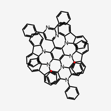 c1ccc(-c2cc(-c3c(-n4c5ccccc5c5ccccc54)c(-n4c5ccccc5c5ccccc54)c(N4c5ccccc5N(c5ccccc5)c5ccccc54)c(-n4c5ccccc5c5ccccc54)c3-n3c4ccccc4c4ccccc43)nc(-c3ccccc3)n2)cc1